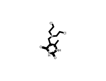 Cc1[nH]c(=O)[nH]c(=O)c1CN(CCCl)CCCl